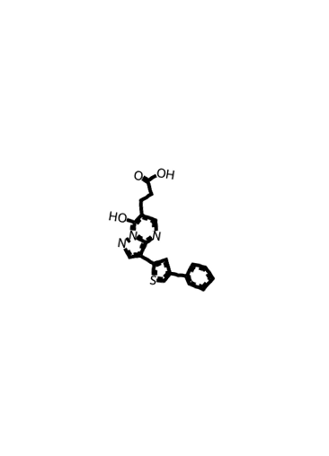 O=C(O)CCc1cnc2c(-c3cc(-c4ccccc4)cs3)cnn2c1O